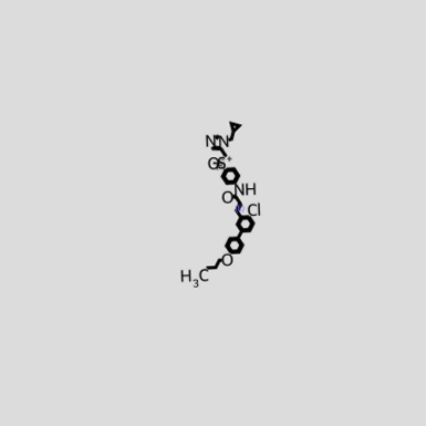 CCCCOc1ccc(-c2ccc(Cl)c(/C=C/C(=O)Nc3ccc([S@@+]([O-])Cc4cncn4CC4CC4)cc3)c2)cc1